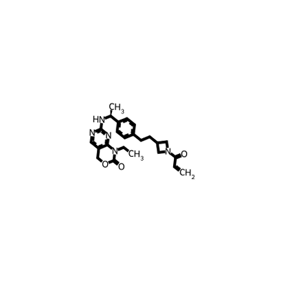 C=CC(=O)N1CC(CCc2ccc([C@H](C)Nc3ncc4c(n3)N(CC)C(=O)OC4)cc2)C1